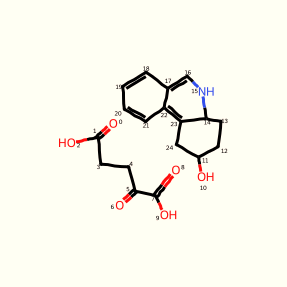 O=C(O)CCC(=O)C(=O)O.OC1CCC2NC=c3ccccc3=C2C1